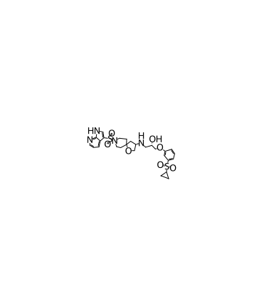 O=S(=O)(c1cccc(OC[C@@H](O)CN[C@H]2COC3(CCN(S(=O)(=O)c4c[nH]c5ncccc45)CC3)C2)c1)C1CC1